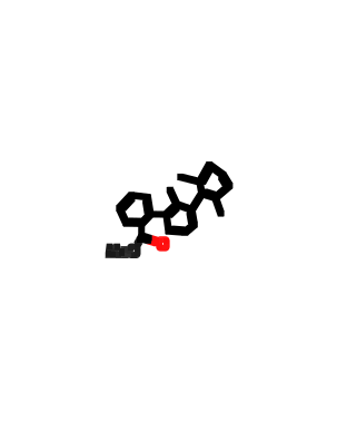 COC(=O)c1ccccc1-c1cccc(-c2c(C)cccc2C)c1C